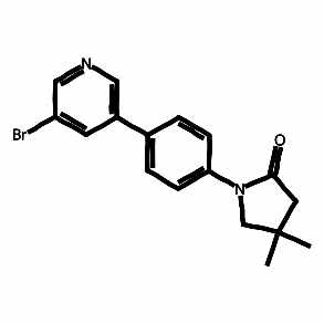 CC1(C)CC(=O)N(c2ccc(-c3cncc(Br)c3)cc2)C1